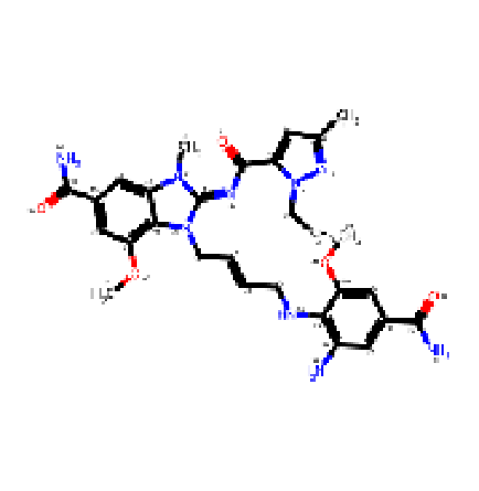 CCn1nc(C)cc1C(=O)/N=c1\n(C)c2cc(C(N)=O)cc(OC)c2n1C/C=C/CNc1c(N)cc(C(N)=O)cc1OC